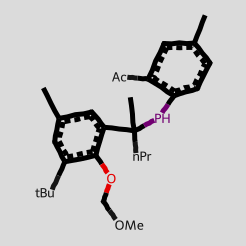 CCCC(C)(Pc1ccc(C)cc1C(C)=O)c1cc(C)cc(C(C)(C)C)c1OCOC